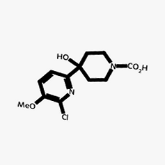 COc1ccc(C2(O)CCN(C(=O)O)CC2)nc1Cl